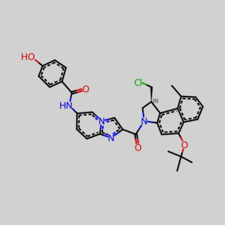 Cc1cccc2c(OC(C)(C)C)cc3c(c12)[C@H](CCl)CN3C(=O)c1cn2cc(NC(=O)c3ccc(O)cc3)ccc2n1